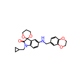 O=C1N(CC2CC2)c2ccc(NCc3ccc4c(c3)OCCO4)cc2C12OCCCO2